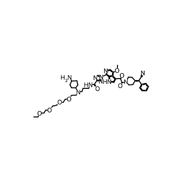 CCOCCOCCOCCOCCN(CCCNC(=O)c1ncn(-c2ncc(OC)c3c(C(=O)C(=O)N4CCC(=C(C#N)c5ccccc5)CC4)c[nH]c23)n1)C1CCC(N)CC1